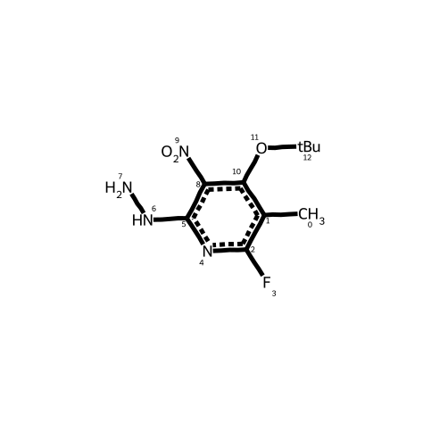 Cc1c(F)nc(NN)c([N+](=O)[O-])c1OC(C)(C)C